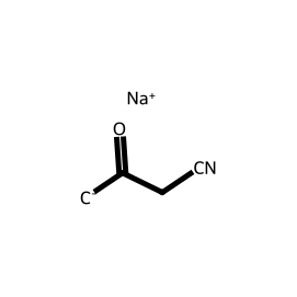 [CH2-]C(=O)CC#N.[Na+]